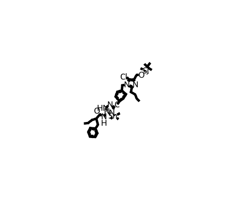 CCCCc1nc(CO[Si](C)(C)C(C)(C)C)c(Cl)n1Cc1ccc(CC2=NNN(NC(=O)C(CCC)Cc3ccccc3)[N]2[Sn]([CH3])([CH3])[CH3])cc1